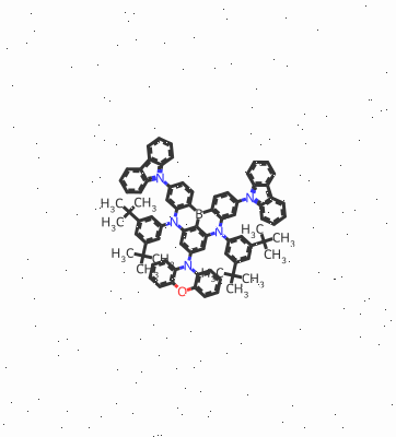 CC(C)(C)c1cc(N2c3cc(-n4c5ccccc5c5ccccc54)ccc3B3c4ccc(-n5c6ccccc6c6ccccc65)cc4N(c4cc(C(C)(C)C)cc(C(C)(C)C)c4)c4cc(N5c6ccccc6Oc6ccccc65)cc2c43)cc(C(C)(C)C)c1